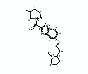 CC1CCCN(C(=O)c2cc3cc(OCCC4CCCN4C)ccc3[nH]2)C1